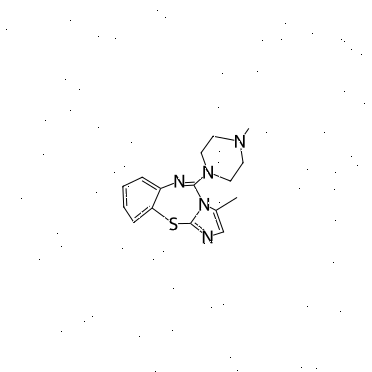 Cc1cnc2n1C(N1CCN(C)CC1)=Nc1ccccc1S2